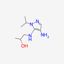 CC(O)CNc1c(N)cnn1C(C)C